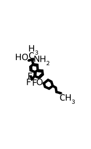 CCCCC1CCC(Oc2ccc3cc(C(C)(N)CO)ccc3c2C(F)(F)F)CC1